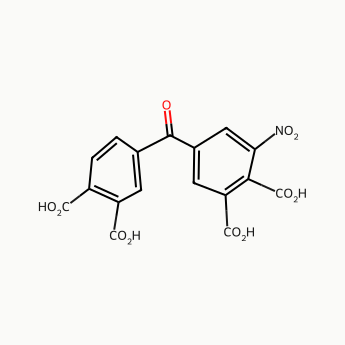 O=C(c1ccc(C(=O)O)c(C(=O)O)c1)c1cc(C(=O)O)c(C(=O)O)c([N+](=O)[O-])c1